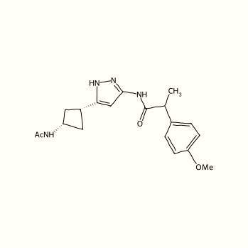 COc1ccc(C(C)C(=O)Nc2cc([C@H]3C[C@@H](NC(C)=O)C3)[nH]n2)cc1